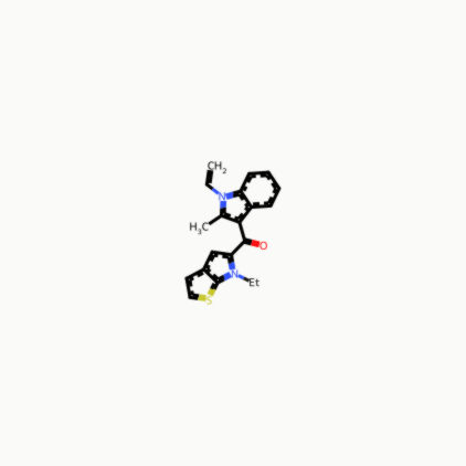 C=Cn1c(C)c(C(=O)c2cc3ccsc3n2CC)c2ccccc21